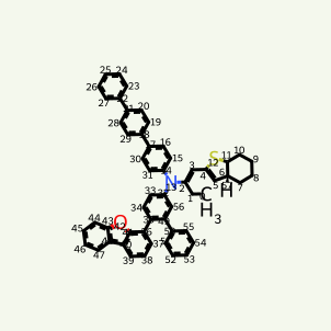 CC/C(=C\C1=C[C@H]2CCCCC2S1)N(c1ccc(-c2ccc(-c3ccccc3)cc2)cc1)c1ccc(-c2cccc3c2oc2ccccc23)c(-c2ccccc2)c1